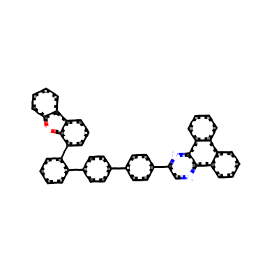 c1ccc(-c2cccc3c2oc2ccccc23)c(-c2ccc(-c3ccc(-c4cnc5c6ccccc6c6ccccc6c5n4)cc3)cc2)c1